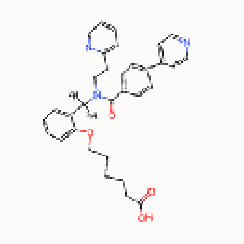 [2H]C([2H])(c1ccccc1OCCCCCC(=O)O)N(CCc1ccccn1)C(=O)c1ccc(-c2ccncc2)cc1